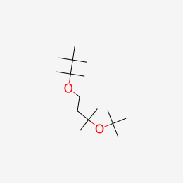 CC(C)(C)OC(C)(C)CCOC(C)(C)C(C)(C)C